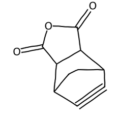 O=C1OC(=O)C2C3C#CC(CC3)C12